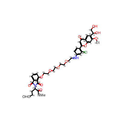 CCOc1cc2oc(-c3ccc(NCCOCCOCCOCCOc4cccc5c4C(=O)N(C(CCC=O)C(=O)NC)C5=O)cc3Cl)cc(=O)c2cc1C(O)CO